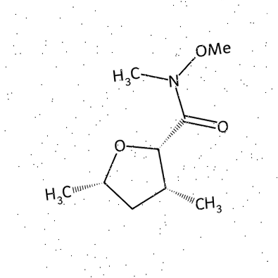 CON(C)C(=O)[C@H]1O[C@@H](C)C[C@H]1C